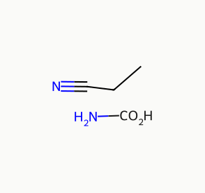 CCC#N.NC(=O)O